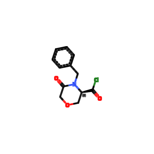 O=C(Cl)[C@H]1COCC(=O)N1Cc1ccccc1